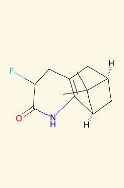 CC1(C)[C@H]2CC3=C(NC(=O)C(F)C3)[C@@H]1C2